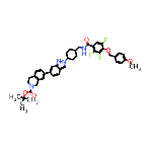 COc1ccc(COc2c(F)cc(C(=O)NCC3CCC(n4cc5ccc(-c6ccc7c(c6)CN(C(=O)OC(C)(C)C)CC7)cc5n4)CC3)c(F)c2F)cc1